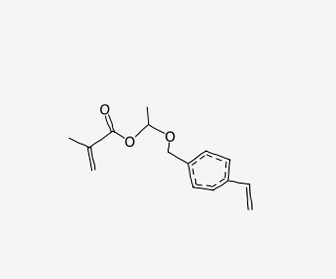 C=Cc1ccc(COC(C)OC(=O)C(=C)C)cc1